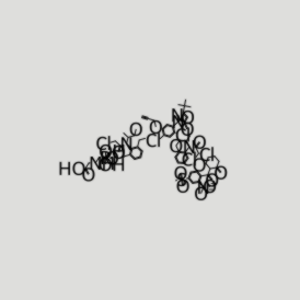 C#CCOc1cc(-n2nc(C(C)(C)C)oc2=O)c(Cl)cc1Cl.CC1COc2ccccc2N1C(=O)C(Cl)Cl.CCc1cccc(C)c1N(C(=O)CCl)C(C)COC.CS(=O)(=O)c1ccc(C(=O)C2C(=O)CCCC2=O)c([N+](=O)[O-])c1.O=C(O)CNCP(=O)(O)O